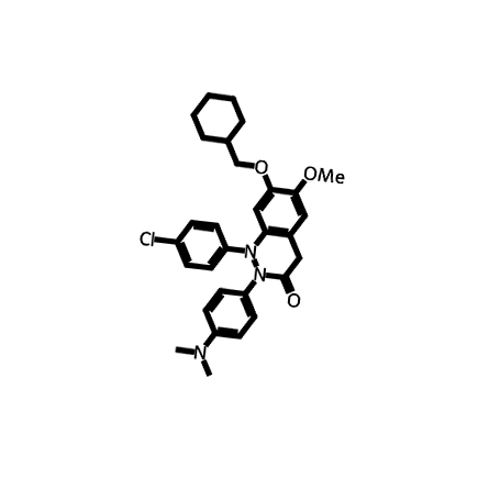 COc1cc2c(cc1OCC1CCCCC1)N(c1ccc(Cl)cc1)N(c1ccc(N(C)C)cc1)C(=O)C2